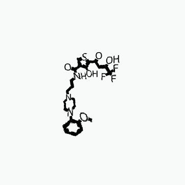 COc1ccccc1N1CCN(CCCNC(=O)c2csc(C(=O)C=C(O)C(F)(F)F)c2O)CC1